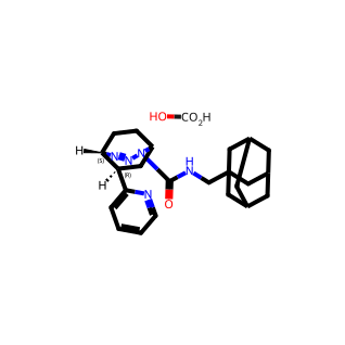 O=C(NCC12CC3CC(CC(C3)C1)C2)N1N=N[C@H]2CCC1C[C@H]2c1ccccn1.O=C(O)O